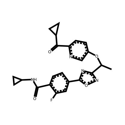 CC(Oc1ccc(C(=O)C2CC2)nc1)c1noc(-c2ccc(C(=O)NC3CC3)c(F)c2)n1